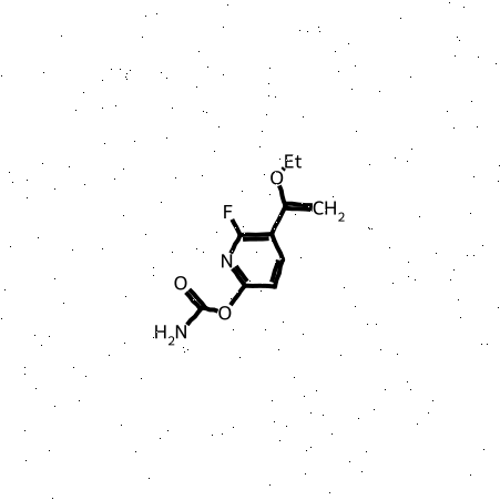 C=C(OCC)c1ccc(OC(N)=O)nc1F